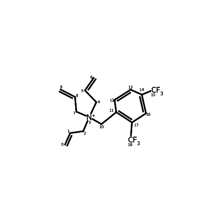 C=CC[N+](CC=C)(CC=C)Cc1ccc(C(F)(F)F)cc1C(F)(F)F